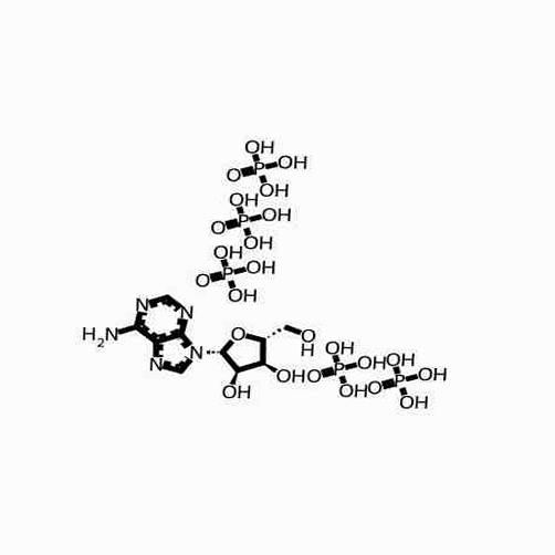 Nc1ncnc2c1ncn2[C@@H]1O[C@H](CO)[C@@H](O)[C@H]1O.O=P(O)(O)O.O=P(O)(O)O.O=P(O)(O)O.O=P(O)(O)O.O=P(O)(O)O